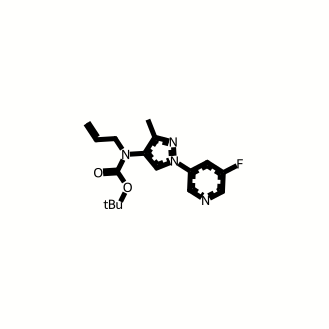 C=CCN(C(=O)OC(C)(C)C)c1cn(-c2cncc(F)c2)nc1C